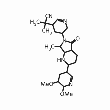 COC1CC(C2CCC3C(=O)N(C4CN=CC(C(C)(C)C#N)C4)C(C)C3N2)C=NC1OC